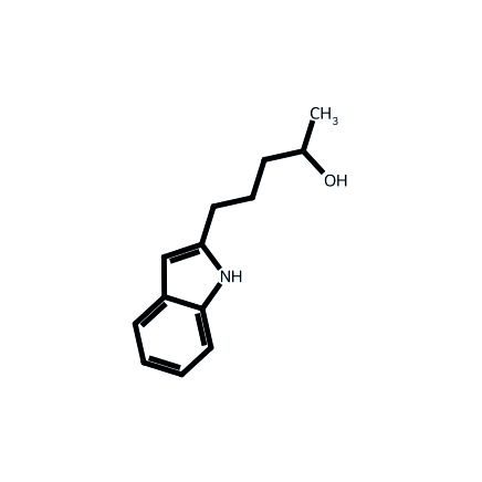 CC(O)CCCc1cc2ccccc2[nH]1